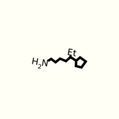 CCC(CCCCN)C1CCCC1